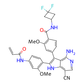 C=CC(=O)Nc1ccc(-c2[nH]c3c(C#N)cnc(N)c3c2-c2ccc(C(=O)NC3CC(F)(F)C3)c(OC)c2)c(OC)c1